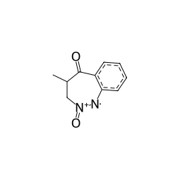 CC1C[N+](=O)[N]c2ccccc2C1=O